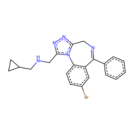 Brc1ccc2c(c1)C(c1ccccc1)=NCc1nnc(CNCC3CC3)n1-2